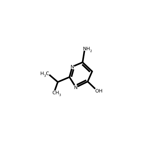 CC(C)c1nc(N)cc(O)n1